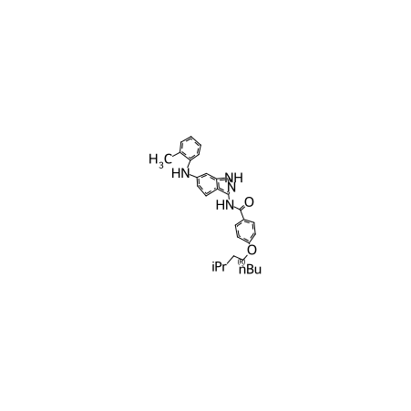 CCCC[C@H](CC(C)C)Oc1ccc(C(=O)Nc2n[nH]c3cc(Nc4ccccc4C)ccc23)cc1